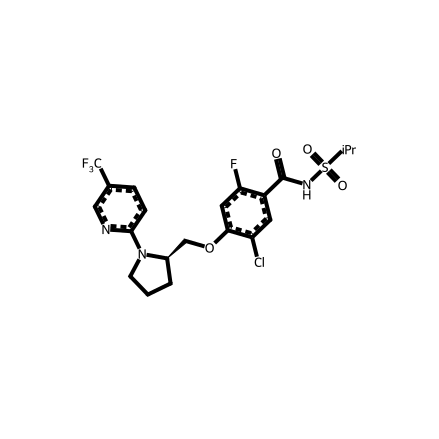 CC(C)S(=O)(=O)NC(=O)c1cc(Cl)c(OC[C@H]2CCCN2c2ccc(C(F)(F)F)cn2)cc1F